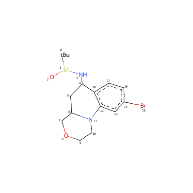 CC(C)(C)[S+]([O-])NC1CC2COCCN2c2cc(Br)ccc21